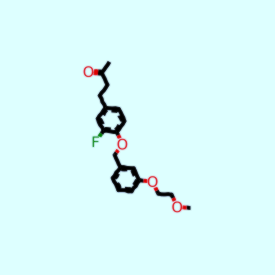 COCCOc1cccc(COc2ccc(CCC(C)=O)cc2F)c1